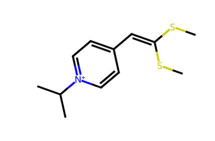 CSC(=Cc1cc[n+](C(C)C)cc1)SC